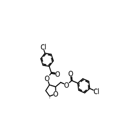 O=C(OCC1O[CH]CC1OC(=O)c1ccc(Cl)cc1)c1ccc(Cl)cc1